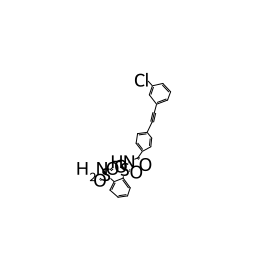 NS(=O)(=O)c1ccccc1S(=O)(=O)NC(=O)c1ccc(C#Cc2cccc(Cl)c2)cc1